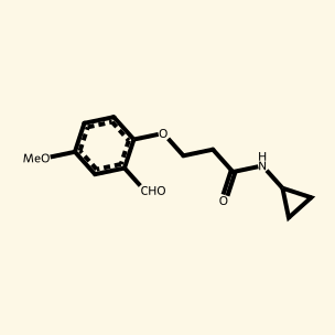 COc1ccc(OCCC(=O)NC2CC2)c(C=O)c1